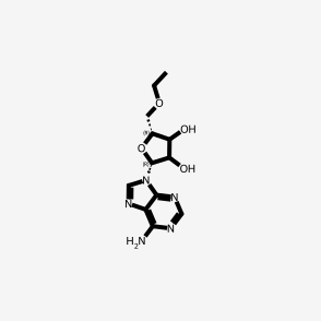 CCOC[C@H]1O[C@@H](n2cnc3c(N)ncnc32)C(O)C1O